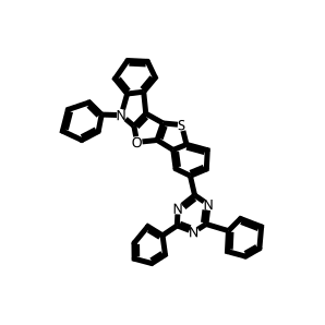 c1ccc(-c2nc(-c3ccccc3)nc(-c3ccc4sc5c(oc6c5c5ccccc5n6-c5ccccc5)c4c3)n2)cc1